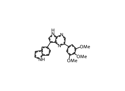 COc1cc(-c2cnc3[nH]cc(-c4ccc5[nH]ccc5c4)c3n2)cc(OC)c1OC